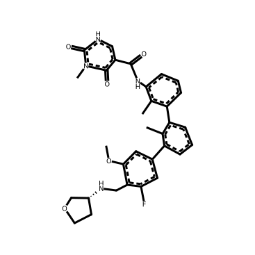 COc1cc(-c2cccc(-c3cccc(NC(=O)c4c[nH]c(=O)n(C)c4=O)c3C)c2C)cc(F)c1CN[C@@H]1CCOC1